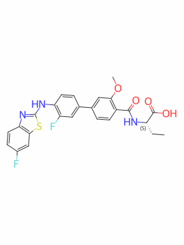 CC[C@H](NC(=O)c1ccc(-c2ccc(Nc3nc4ccc(F)cc4s3)c(F)c2)cc1OC)C(=O)O